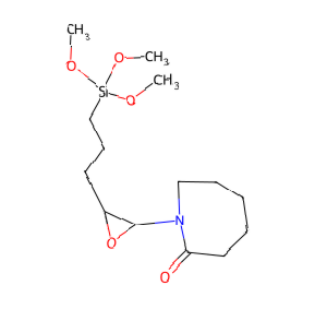 CO[Si](CCCC1OC1N1CCCCCC1=O)(OC)OC